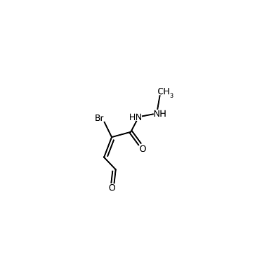 CNNC(=O)/C(Br)=C\C=O